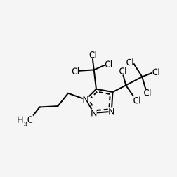 CCCCn1nnc(C(Cl)(Cl)C(Cl)(Cl)Cl)c1C(Cl)(Cl)Cl